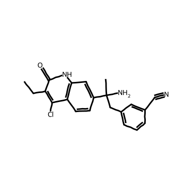 CCc1c(Cl)c2ccc(C(C)(N)Cc3cccc(C#N)c3)cc2[nH]c1=O